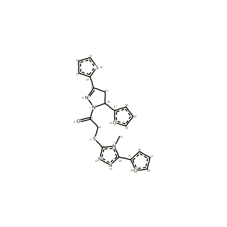 Cn1c(SCC(=O)N2N=C(c3cccs3)CC2c2ccco2)nnc1-c1ccco1